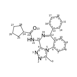 Cc1nnc2n1-c1ccccc1C(c1ccccc1)=NC2NC(=O)C1CCCC1